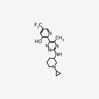 Cc1nc(NC2CCCN(C3CC3)C2)nnc1-c1ncc(C(F)(F)F)cc1O